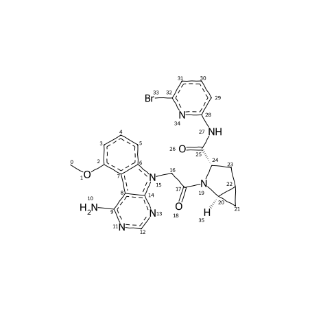 COc1cccc2c1c1c(N)ncnc1n2CC(=O)N1[C@@H]2CC2C[C@H]1C(=O)Nc1cccc(Br)n1